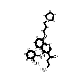 CCCC(=O)c1cnc2c(OCCCN3CCCC3)cccc2c1Nc1ccccc1C